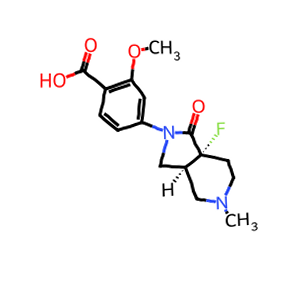 COc1cc(N2C[C@@H]3CN(C)CC[C@]3(F)C2=O)ccc1C(=O)O